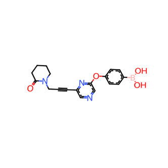 O=C1CCCCN1CC#Cc1cncc(Oc2ccc(B(O)O)cc2)n1